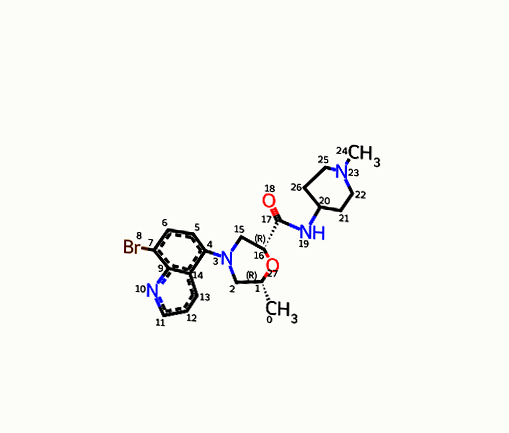 C[C@@H]1CN(c2ccc(Br)c3ncccc23)C[C@H](C(=O)NC2CCN(C)CC2)O1